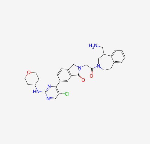 NCC1CN(C(=O)CN2Cc3ccc(-c4nc(NC5CCOCC5)ncc4Cl)cc3C2=O)CCc2ccccc21